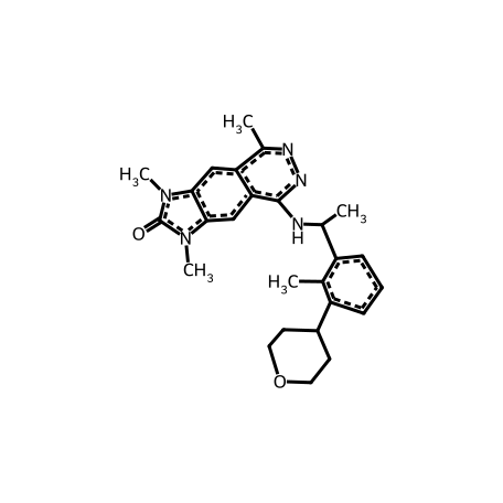 Cc1c(C2CCOCC2)cccc1C(C)Nc1nnc(C)c2cc3c(cc12)n(C)c(=O)n3C